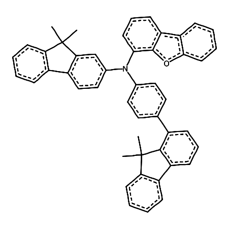 CC1(C)c2ccccc2-c2ccc(N(c3ccc(-c4cccc5c4C(C)(C)c4ccccc4-5)cc3)c3cccc4c3oc3ccccc34)cc21